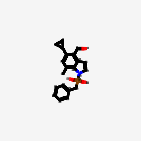 Cc1cc(C2CC2)c(C=O)c2ccn(S(=O)(=O)Cc3ccccc3)c12